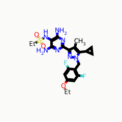 CCOc1cc(F)c(Cn2nc(-c3nc(N)c(NS(=O)(=O)CC)c(N)n3)c(C)c2C2CC2)c(F)c1